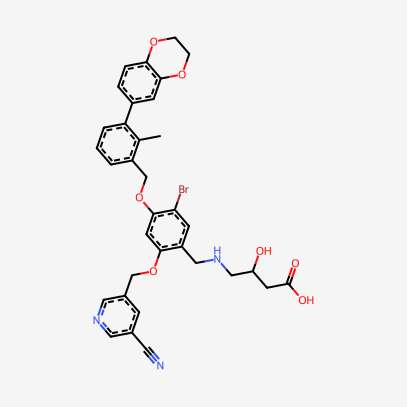 Cc1c(COc2cc(OCc3cncc(C#N)c3)c(CNCC(O)CC(=O)O)cc2Br)cccc1-c1ccc2c(c1)OCCO2